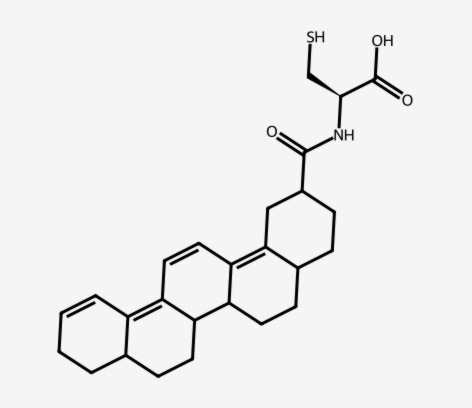 O=C(N[C@@H](CS)C(=O)O)C1CCC2CCC3C(=C2C1)C=CC1=C2C=CCCC2CCC13